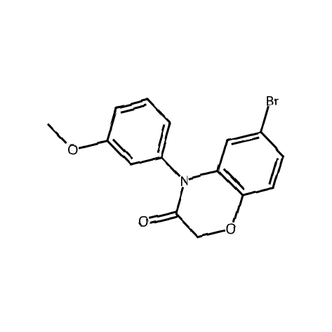 COc1cccc(N2C(=O)COc3ccc(Br)cc32)c1